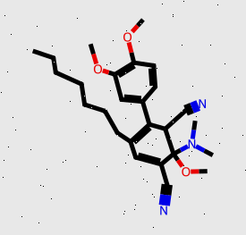 CCCCCCCC1=C(c2ccc(OC)c(OC)c2)C(C#N)C(OC)(N(C)C)C(C#N)=C1